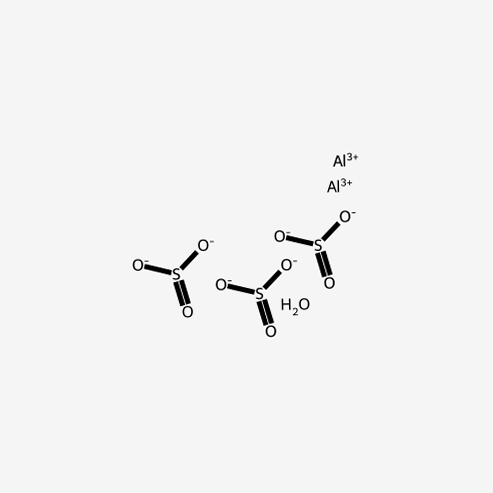 O.O=S([O-])[O-].O=S([O-])[O-].O=S([O-])[O-].[Al+3].[Al+3]